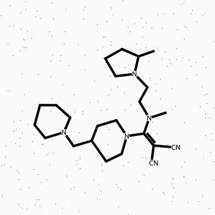 CC1CCCN1CCN(C)C(=C(C#N)C#N)N1CCC(CN2CCCCC2)CC1